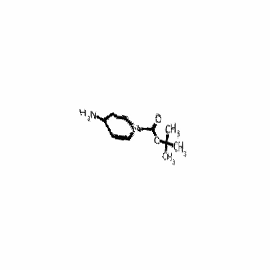 CC(C)(C)OC(=O)N1C=CC(N)CC1